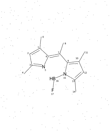 CC1=CC(C)=N/C1=C(/C)c1c(C)cc(C)n1BF